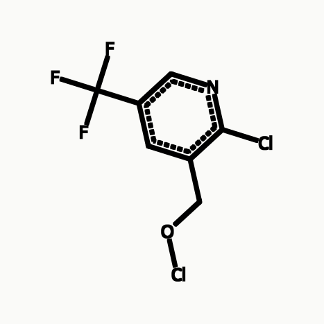 FC(F)(F)c1cnc(Cl)c(COCl)c1